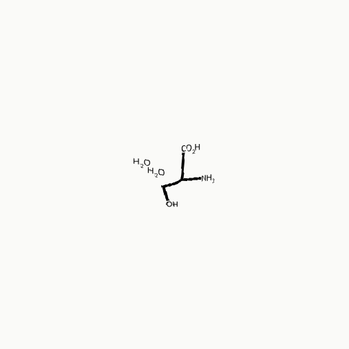 NC(CO)C(=O)O.O.O